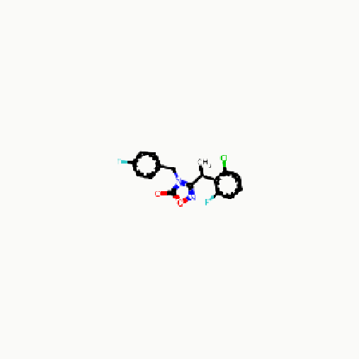 CC(c1c(F)cccc1Cl)c1noc(=O)n1Cc1ccc(F)cc1